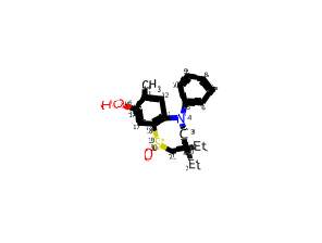 CCC1(CC)CN(c2ccccc2)c2cc(C)c(O)cc2[S+]([O-])C1